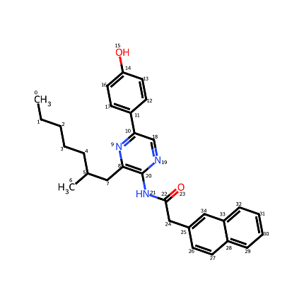 CCCCCC(C)Cc1nc(-c2ccc(O)cc2)cnc1NC(=O)Cc1ccc2ccccc2c1